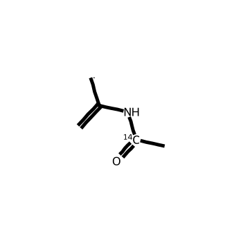 [CH2]C(=C)N[14C](C)=O